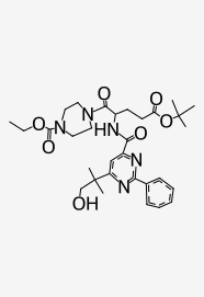 CCOC(=O)N1CCN(C(=O)C(CCC(=O)OC(C)(C)C)NC(=O)c2cc(C(C)(C)CO)nc(-c3ccccc3)n2)CC1